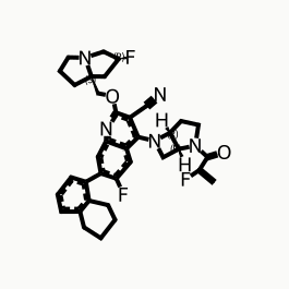 C=C(F)C(=O)N1CC[C@@H]2[C@H]1CN2c1c(C#N)c(OC[C@@]23CCCN2C[C@H](F)C3)nc2cc(-c3cccc4c3CCCC4)c(F)cc12